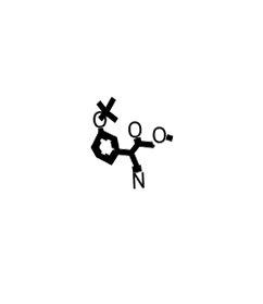 COCC(=O)C(C#N)c1cccc(OC(C)(C)C)c1